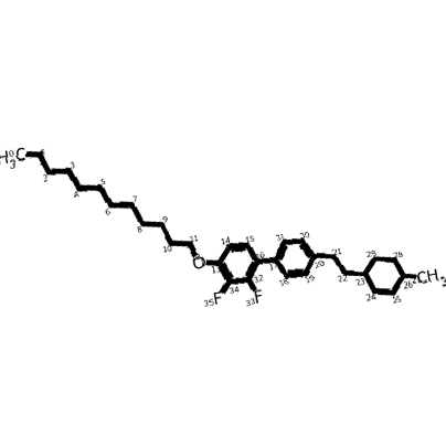 CCCCCCCCCCCCOc1ccc(-c2ccc(CCC3CCC(C)CC3)cc2)c(F)c1F